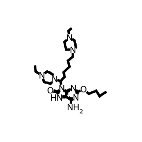 CCCCOc1nc(N)c2[nH]c(=O)n(C(CCCCCN3CCN(CC)CC3)N3CCN(CC)CC3)c2n1